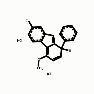 COC1=C2C(=Cc3cc(Cl)ccc32)[C]([Ti])(c2ccccc2)C=C1.Cl.Cl